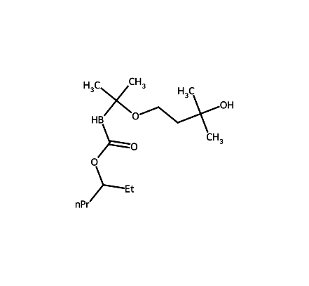 CCCC(CC)OC(=O)BC(C)(C)OCCC(C)(C)O